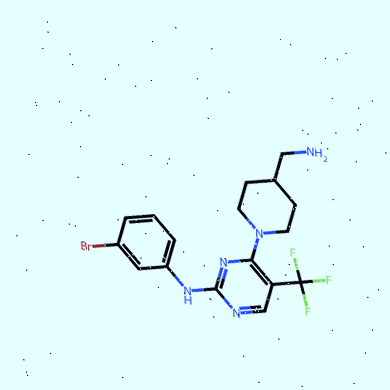 NCC1CCN(c2nc(Nc3cccc(Br)c3)ncc2C(F)(F)F)CC1